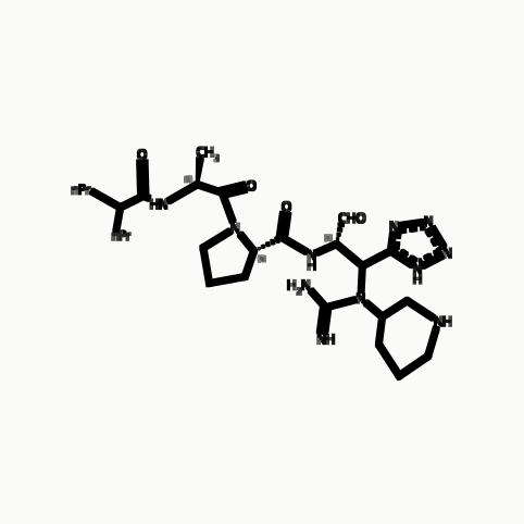 CCCC(CCC)C(=O)N[C@@H](C)C(=O)N1CCC[C@H]1C(=O)N[C@H](C=O)C(c1nnn[nH]1)N(C(=N)N)C1CCCNC1